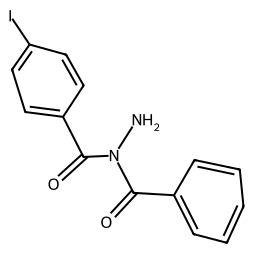 NN(C(=O)c1ccccc1)C(=O)c1ccc(I)cc1